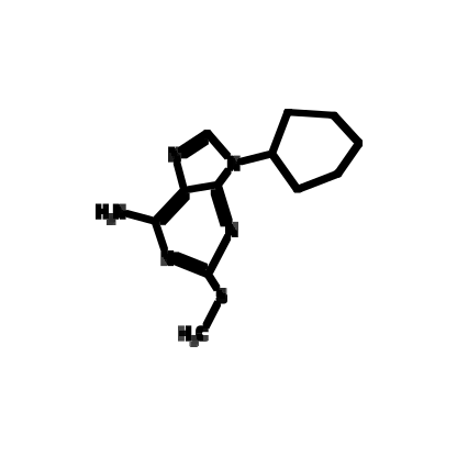 CSc1nc(N)c2ncn(C3CCCCC3)c2n1